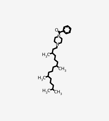 CC(C)CCCC(C)CCCC(C)CCCC(C)CCN1CCN(C(=O)c2ccccc2)CC1